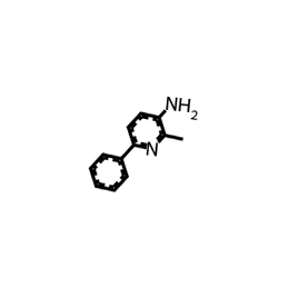 Cc1nc(-c2ccccc2)ccc1N